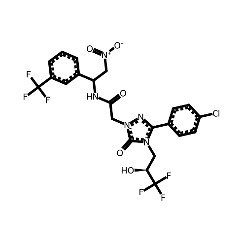 O=C(Cn1nc(-c2ccc(Cl)cc2)n(C[C@H](O)C(F)(F)F)c1=O)NC(C[N+](=O)[O-])c1cccc(C(F)(F)F)c1